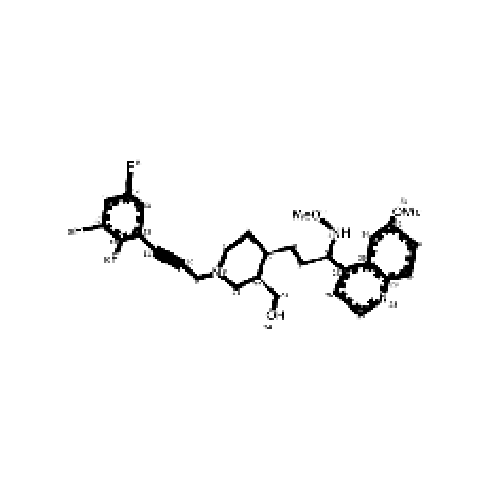 CON[C@H](CC[C@@H]1CCN(CC#Cc2cc(F)cc(F)c2F)C[C@@H]1CO)c1ccnc2ccc(OC)cc12